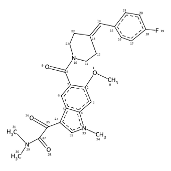 COc1cc2c(cc1C(=O)N1CCC(=Cc3ccc(F)cc3)CC1)c(C(=O)C(=O)N(C)C)cn2C